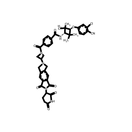 CC1(C)[C@H](NC(=O)c2ccc(C(=O)N3CC(N4Cc5cc6c(cc5C4)C(=O)N(C4CCC(=O)NC4=O)C6=O)C3)cc2)C(C)(C)[C@H]1Oc1ccc(C#N)c(Cl)c1